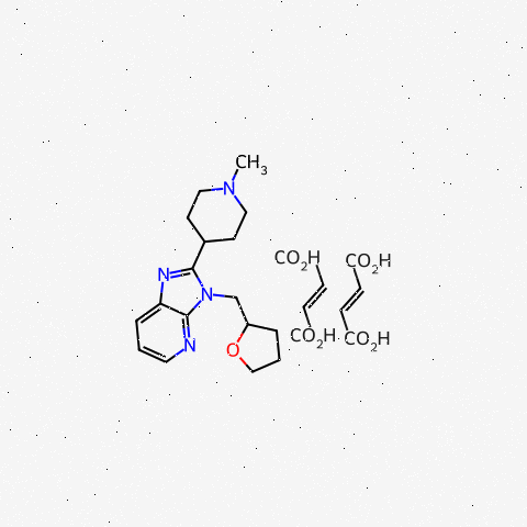 CN1CCC(c2nc3cccnc3n2CC2CCCO2)CC1.O=C(O)C=CC(=O)O.O=C(O)C=CC(=O)O